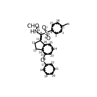 Cc1ccc(S(=O)(=O)C(NC=O)=C2CCc3c(Oc4ccccc4)cccc32)cc1